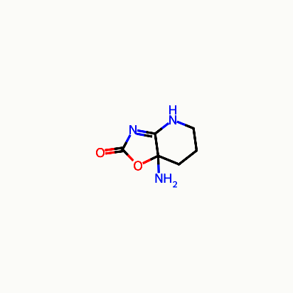 NC12CCCNC1=NC(=O)O2